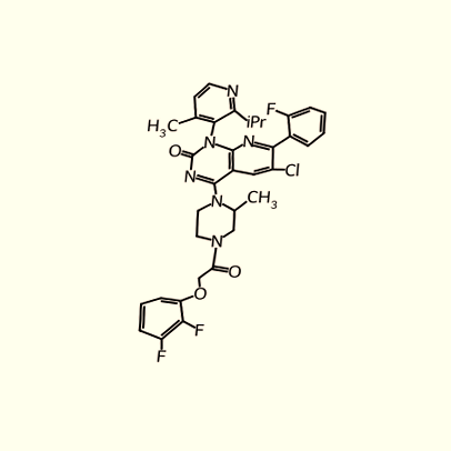 Cc1ccnc(C(C)C)c1-n1c(=O)nc(N2CCN(C(=O)COc3cccc(F)c3F)CC2C)c2cc(Cl)c(-c3ccccc3F)nc21